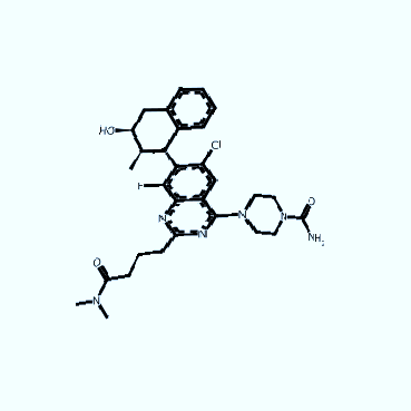 C[C@@H]1[C@H](c2c(Cl)cc3c(N4CCN(C(N)=O)CC4)nc(CCCC(=O)N(C)C)nc3c2F)c2ccccc2C[C@@H]1O